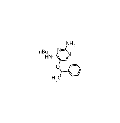 CCCCNc1nc(N)ncc1O[C@H](C)c1ccccc1